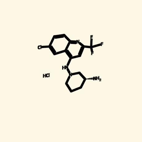 Cl.N[C@@H]1CCCN(Nc2cc(C(F)(F)F)nc3ccc(Cl)cc23)C1